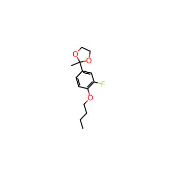 CCCCOc1ccc(C2(C)OCCO2)cc1F